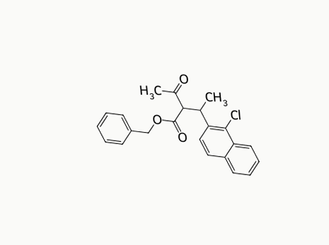 CC(=O)C(C(=O)OCc1ccccc1)C(C)c1ccc2ccccc2c1Cl